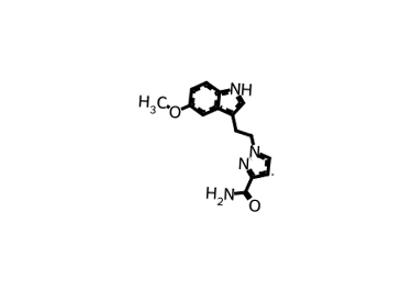 COc1ccc2[nH]cc(CCn3c[c]c(C(N)=O)n3)c2c1